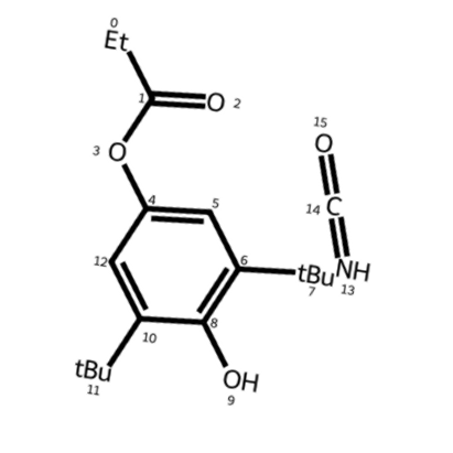 CCC(=O)Oc1cc(C(C)(C)C)c(O)c(C(C)(C)C)c1.N=C=O